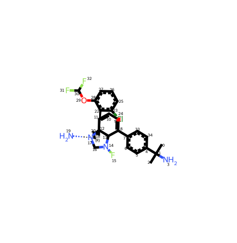 CC(C)(N)c1ccc(C2=CC=CC34C2N(F)CN3[C@@H](N)C[C@@H]4c2c(Cl)cccc2OC(F)F)cc1